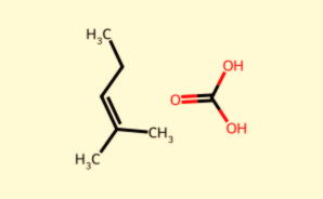 CCC=C(C)C.O=C(O)O